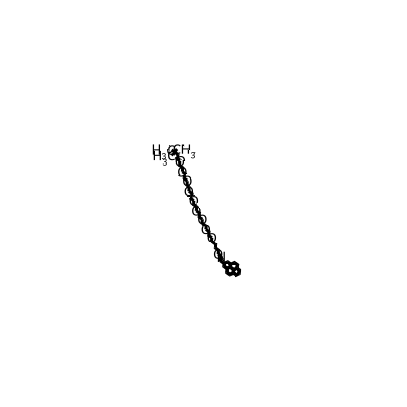 CC(C)(C)CCOCCOCCOCCOCCOCCOCCOCCOCCOCCCCO/N=C/c1cc2ccc3cccc4ccc(c1)c2c34